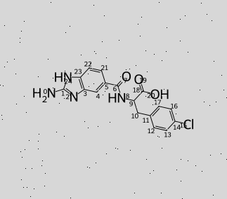 Nc1nc2cc(C(=O)NC(Cc3ccc(Cl)cc3)C(=O)O)ccc2[nH]1